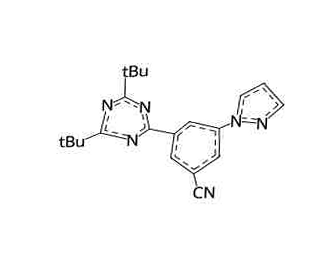 CC(C)(C)c1nc(-c2cc(C#N)cc(-n3cccn3)c2)nc(C(C)(C)C)n1